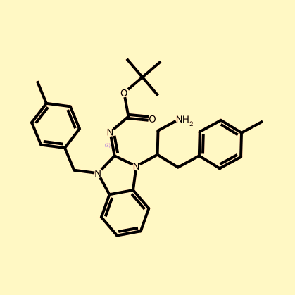 Cc1ccc(CC(CN)n2/c(=N\C(=O)OC(C)(C)C)n(Cc3ccc(C)cc3)c3ccccc32)cc1